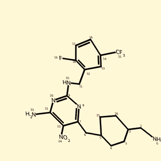 NCC1CCC(Cc2nc(NCc3cc(C(F)(F)F)ccc3F)nc(N)c2[N+](=O)[O-])CC1